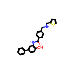 O=C(Nc1cc(-c2ccccc2)ccc1O)c1ccc(CNCc2cccs2)cc1